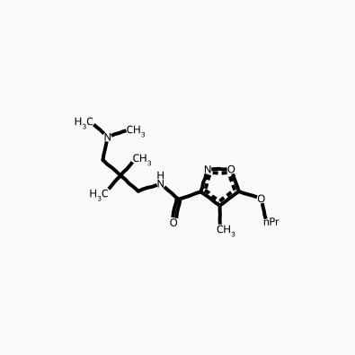 CCCOc1onc(C(=O)NCC(C)(C)CN(C)C)c1C